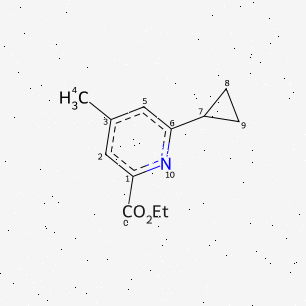 CCOC(=O)c1cc(C)cc(C2CC2)n1